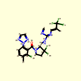 C=N/C(=N\C=C(/C)C(F)(F)F)NC[C@H]1N(C(=O)c2c(-n3nccn3)ccc(C)c2F)CCC1(F)F